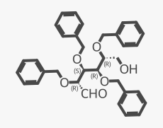 O=C[C@H](OCc1ccccc1)[C@@H](OCc1ccccc1)[C@H](OCc1ccccc1)[C@@H](CO)OCc1ccccc1